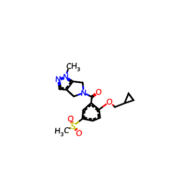 Cn1ncc2c1CN(C(=O)c1cc(S(C)(=O)=O)ccc1OCC1CC1)C2